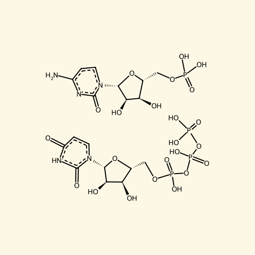 Nc1ccn([C@@H]2O[C@H](COP(=O)(O)O)[C@@H](O)[C@H]2O)c(=O)n1.O=c1ccn([C@@H]2O[C@H](COP(=O)(O)OP(=O)(O)OP(=O)(O)O)[C@@H](O)[C@H]2O)c(=O)[nH]1